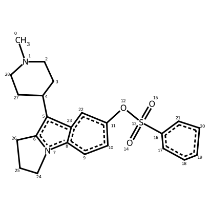 CN1CCC(c2c3n(c4ccc(OS(=O)(=O)c5ccccc5)cc24)CCC3)CC1